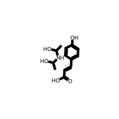 CC(O)NC(C)O.O=C(O)/C=C/c1ccc(O)cc1